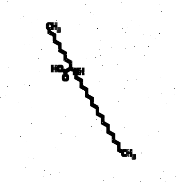 CCCCCCCCCCCCCCCCCCNC(CCCCCCCCC)C(=O)O